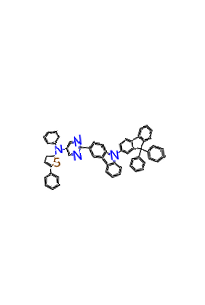 C1=C(c2ccccc2)SC(N(c2ccccc2)c2cnc(-c3ccc4c(c3)c3ccccc3n4-c3ccc4c(c3)C(c3ccccc3)(c3ccccc3)c3ccccc3-4)nc2)C1